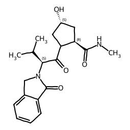 CNC(=O)[C@@H]1C[C@@H](O)CC1C(=O)[C@H](C(C)C)N1Cc2ccccc2C1=O